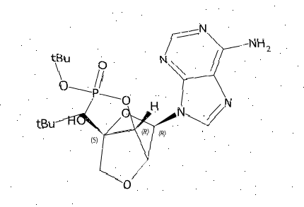 CC(C)(C)C[C@@]12COC([C@H](n3cnc4c(N)ncnc43)O1)[C@H]2OP(=O)(O)OC(C)(C)C